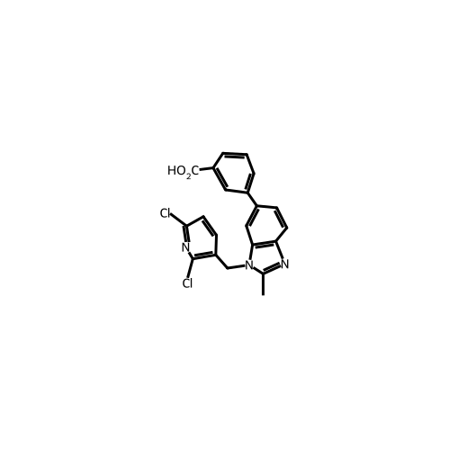 Cc1nc2ccc(-c3cccc(C(=O)O)c3)cc2n1Cc1ccc(Cl)nc1Cl